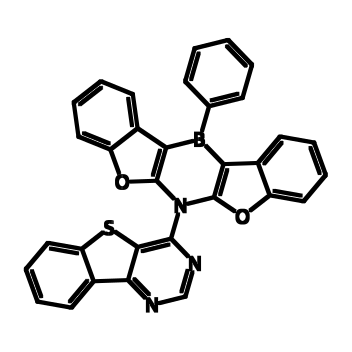 c1ccc(B2c3c(oc4ccccc34)N(c3ncnc4c3sc3ccccc34)c3oc4ccccc4c32)cc1